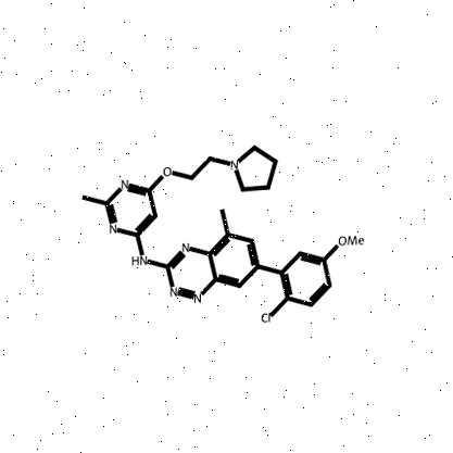 COc1ccc(Cl)c(-c2cc(C)c3nc(Nc4cc(OCCN5CCCC5)nc(C)n4)nnc3c2)c1